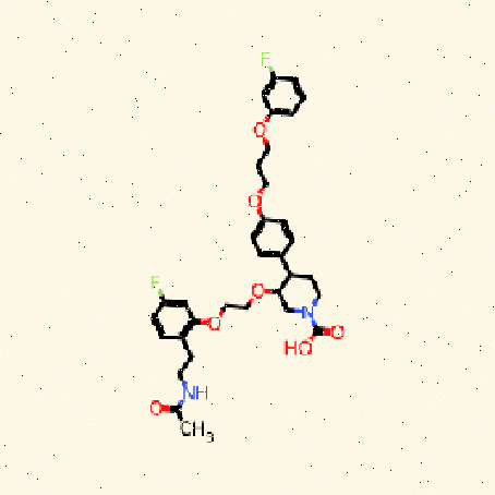 CC(=O)NCCc1ccc(F)cc1OCCOC1CN(C(=O)O)CCC1c1ccc(OCCCOc2cccc(F)c2)cc1